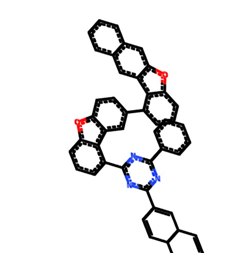 C1=CC2C=CC(c3nc(-c4ccccc4)nc(-c4cccc5oc6ccc(-c7cccc8oc9cc%10ccccc%10cc9c78)cc6c45)n3)=CC2C=C1